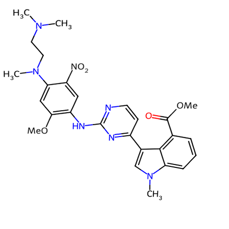 COC(=O)c1cccc2c1c(-c1ccnc(Nc3cc([N+](=O)[O-])c(N(C)CCN(C)C)cc3OC)n1)cn2C